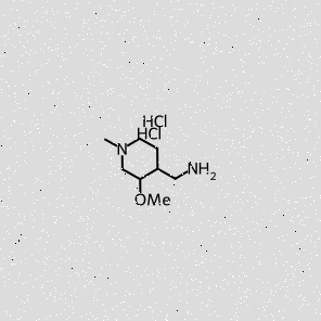 COC1CN(C)CCC1CN.Cl.Cl